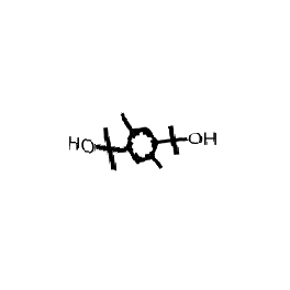 Cc1cc(C(C)(C)O)c(C)cc1C(C)(C)O